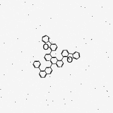 c1ccc(-c2cccc3ccc(-c4c5cccc(-c6cccc7c6oc6ccccc67)c5cc5c(-c6cccc7c6oc6ccccc67)cccc45)cc23)cc1